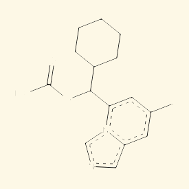 O=C(OC(c1cc(I)cc2cncn12)C1CCCCC1)C(F)(F)F